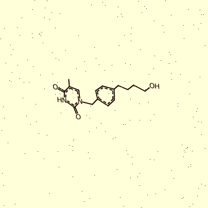 Cc1cn(Cc2ccc(CCCCO)cc2)c(=O)[nH]c1=O